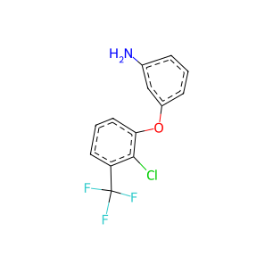 Nc1cccc(Oc2cccc(C(F)(F)F)c2Cl)c1